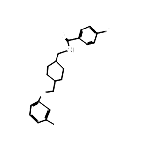 Cc1cccc(OCC2CCC(CNC(=O)c3ccc(O)cc3)CC2)c1